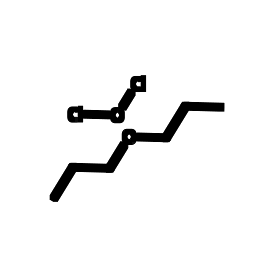 CCCOCCC.ClOCl